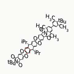 Cc1cc(-c2cc(C)c(C(C)(C)C)c(C)c2)cc(C)c1-n1c(=O)c2cc3oc4cc5c(cc4oc3cc2c1=O)C1(C(C)C)c2ccccc2C5(C(C)C)c2cc3oc4cc5c(=O)n(C(C)(C)C)c(=O)c5cc4oc3cc21